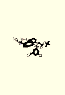 CC(C)(C)OC(=O)CN(c1cccc2c(/C(N)=N/O)cccc12)S(=O)(=O)c1cc(Cl)cc(Cl)c1